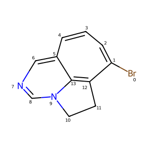 BrC1=CC=CC2=CN=CN3CCC1=C23